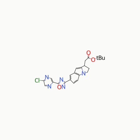 CC(C)(C)OC(=O)CC1CCn2c1cc1cc(-c3noc(-c4cnc(Cl)cn4)n3)ccc12